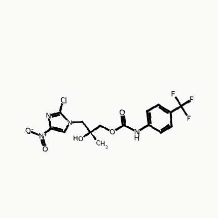 C[C@](O)(COC(=O)Nc1ccc(C(F)(F)F)cc1)Cn1cc([N+](=O)[O-])nc1Cl